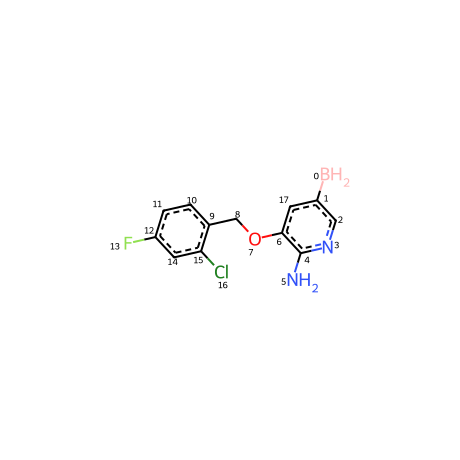 Bc1cnc(N)c(OCc2ccc(F)cc2Cl)c1